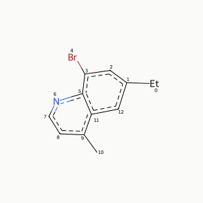 CCc1cc(Br)c2nccc(C)c2c1